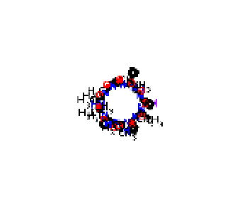 CCCC[C@@H]1NC(=O)[C@H](Cc2cccc(I)c2)NC(=O)CN(C)C(=O)[C@H](CCC2CCCCC2)N(C)C(=O)[C@@H]2CCN2C(=O)CN(C)C(=O)[C@H]([C@@H](C)CC)NC(=O)[C@H](CC(C)C)N(C)C(=O)C[C@@H](C(=O)N2CCCCC2)N(C)C(=O)[C@H](CC(C)C)NC(=O)[C@H](Cc2ccccc2)N(C)C1=O